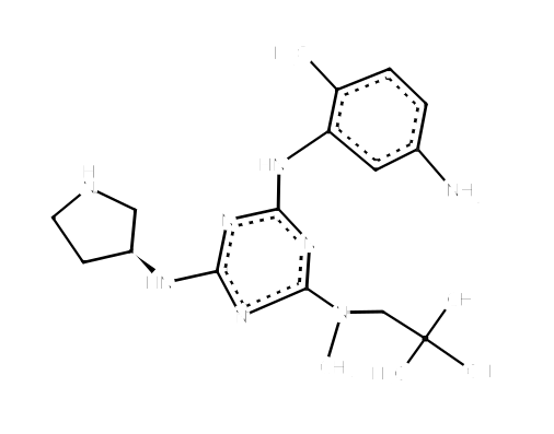 Cc1ccc(N)cc1Nc1nc(N[C@H]2CCNC2)nc(N(C)CC(C)(C)C)n1